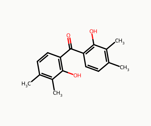 Cc1ccc(C(=O)c2ccc(C)c(C)c2O)c(O)c1C